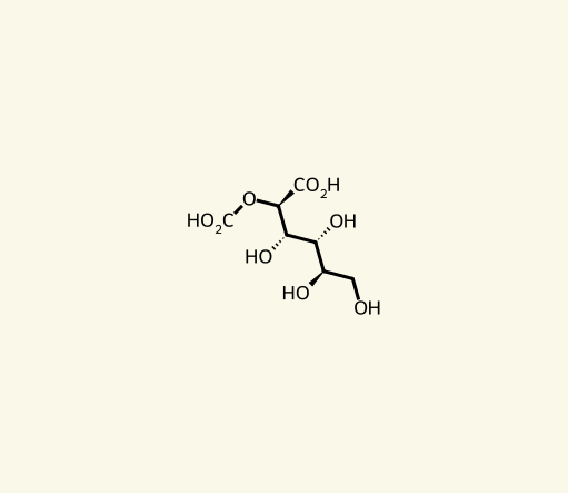 O=C(O)O[C@@H](C(=O)O)[C@@H](O)[C@H](O)[C@H](O)CO